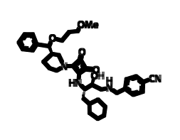 COCCCOC(c1ccccc1)[C@@H]1CCCN(c2c(N[C@@H](CC3CCCCC3)[C@@H](O)CNCc3ccc(C#N)cc3)c(=O)c2=O)C1